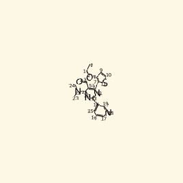 CCOC(=O)c1c(-c2cccs2)nc(-c2cccnc2)nc1N(C)C